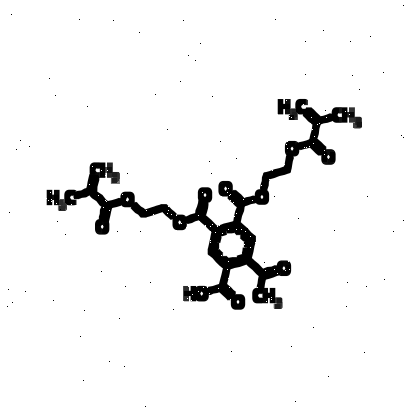 C=C(C)C(=O)OCCOC(=O)c1cc(C(C)=O)c(C(=O)O)cc1C(=O)OCCOC(=O)C(=C)C